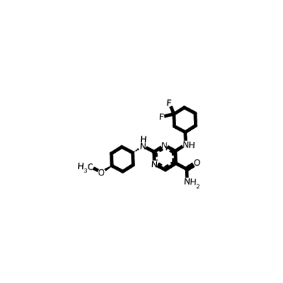 CO[C@H]1CC[C@H](Nc2ncc(C(N)=O)c(NC3CCCC(F)(F)C3)n2)CC1